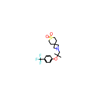 CC(C)(CN1CC2(CCS(=O)(=O)CC2)C1)Oc1ccc(C(F)(F)F)cc1